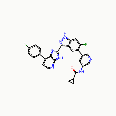 O=C(Nc1cncc(-c2cc3c(-c4nc5c(-c6ccc(F)cc6)ccnc5[nH]4)n[nH]c3cc2F)c1)C1CC1